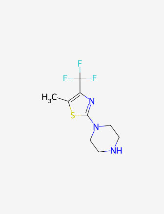 Cc1sc(N2CCNCC2)nc1C(F)(F)F